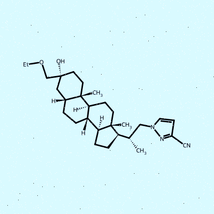 CCOC[C@@]1(O)CC[C@@]2(C)[C@H](CC[C@@H]3[C@@H]2CC[C@]2(C)[C@@H]([C@@H](C)Cn4ccc(C#N)n4)CC[C@@H]32)C1